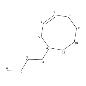 CC[CH]CC1C/C=C\CCCC1